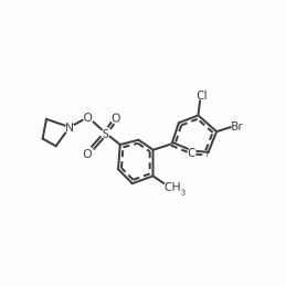 Cc1ccc(S(=O)(=O)ON2CCC2)cc1-c1ccc(Br)c(Cl)c1